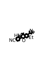 CCc1cc2c(cc1-c1cnn(C)c1)C(C)(C)c1[nH]c3cc(C#N)ccc3c1C2=O